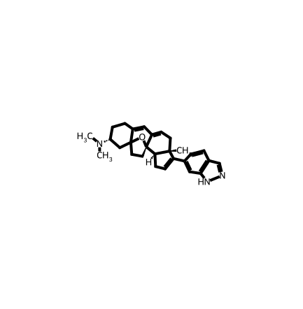 CN(C)[C@@H]1CCC2=CC3=CC[C@]4(C)C(c5ccc6cn[nH]c6c5)=CC[C@H]4[C@@]34CCC2(C1)O4